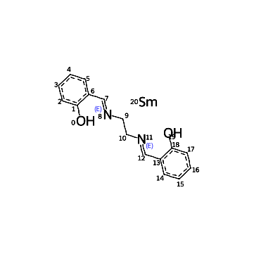 Oc1ccccc1/C=N/CC/N=C/c1ccccc1O.[Sm]